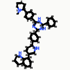 CN1CC=CC=C1c1ccc(C2=NC(c3ccc(C4C=CC(c5cccc6c5NCC=C6)=CN4)cc3)NC(c3ccccc3)N2)cc1